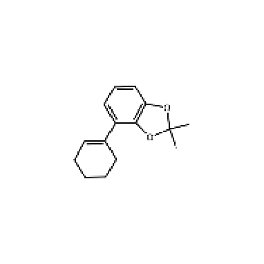 CC1(C)Oc2cccc(C3=CCCCC3)c2O1